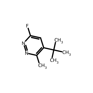 Cc1nnc(F)cc1C(C)(C)C